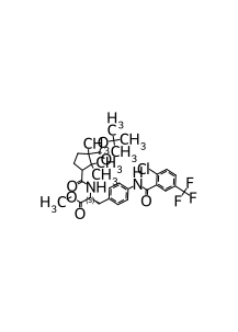 COC(=O)[C@H](Cc1ccc(NC(=O)c2cc(C(F)(F)F)ccc2Cl)cc1)NC(=O)C1CCC(C)(C(=O)OC(C)(C)C)C1(C)C